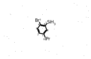 CC(C)c1ccc(Br)c([SiH3])c1